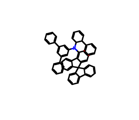 C1=CC(c2ccccc2)C(N(c2cc(-c3ccccc3)cc(-c3ccccc3)c2)c2cccc3c2-c2ccccc2C32c3ccccc3-c3ccccc32)C=C1